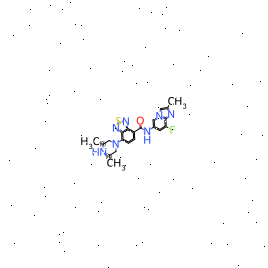 Cc1cn2cc(NC(=O)c3ccc(N4C[C@@H](C)N[C@H](C)C4)c4nsnc34)cc(F)c2n1